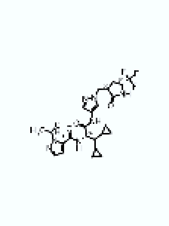 CC(C)n1nccc1C(=O)N[C@H](C(=O)Nc1cnn(C[C@H]2C[C@H](C(F)(F)F)NC2=O)c1)C(C1CC1)C1CC1